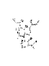 COC(=O)C1=CC(N/C(=N\B(C)O)NB(C)O)[C@@H](NC(C)=O)[C@H]([C@H](O)C(O)CO)O1